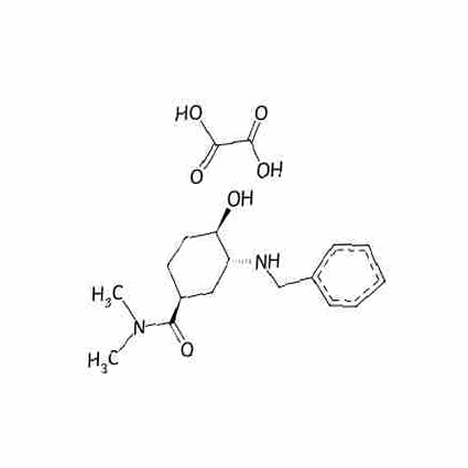 CN(C)C(=O)[C@H]1CC[C@@H](O)[C@H](NCc2ccccc2)C1.O=C(O)C(=O)O